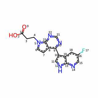 O=C(O)CCn1ccc2c(-c3c[nH]c4ncc(F)cc34)ncnc21